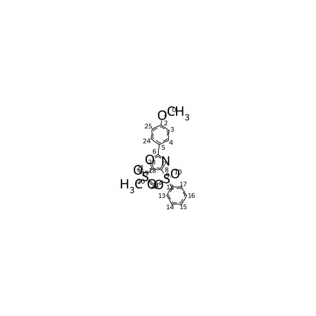 COc1ccc(-c2nc(S(=O)(=O)c3ccccc3)c(S(C)(=O)=O)o2)cc1